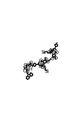 COc1cc2c(cc1OCCCOc1cc3c(cc1OC)C(=O)N1C=C(c4ccc(NC(=O)[C@H](C)NC(=O)[C@@H](NC(=O)OCC5c6ccccc6-c6ccccc65)C(C)C)cc4)C[C@H]1C(=O)N3COCC[Si](C)(C)C)N(COCC[Si](C)(C)C)C(=O)[C@@H]1CC(c3ccc(C)cc3)=CN1C2=O